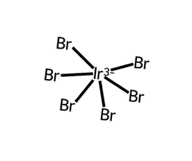 [Br][Ir-3]([Br])([Br])([Br])([Br])[Br]